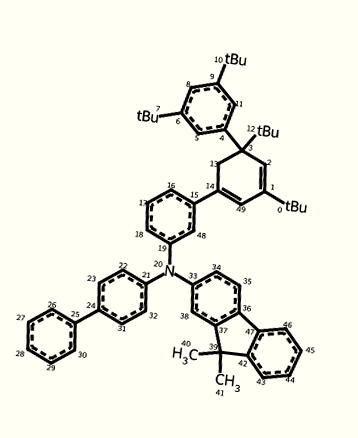 CC(C)(C)C1=CC(c2cc(C(C)(C)C)cc(C(C)(C)C)c2)(C(C)(C)C)CC(c2cccc(N(c3ccc(-c4ccccc4)cc3)c3ccc4c(c3)C(C)(C)c3ccccc3-4)c2)=C1